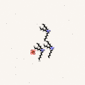 CCCCCCC[N+](C)(CCCCCC)CCCCCC.CCCCCCC[N+](C)(CCCCCC)CCCCCC.CCCCCCC[N+](C)(CCCCCC)CCCCCC.O=P([O-])([O-])[O-]